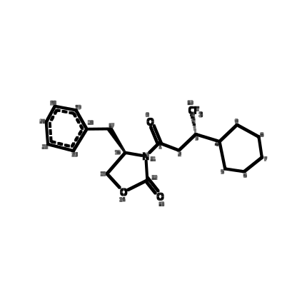 O=C(C[C@@H](C1CCCCC1)C(F)(F)F)N1C(=O)OC[C@H]1Cc1ccccc1